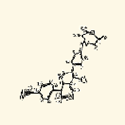 CC1CN(c2ccc(-c3cnc4c(-c5ccc(C#N)cc5)cncc4c3Cl)cc2)CC(C)O1